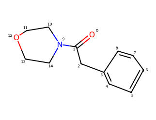 O=C(Cc1cc[c]cc1)N1CCOCC1